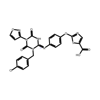 O=C(O)c1cnc(Oc2ccc(/N=c3\[nH]c(=O)n(-c4ccon4)c(=O)n3Cc3ccc(Cl)cc3)cc2)s1